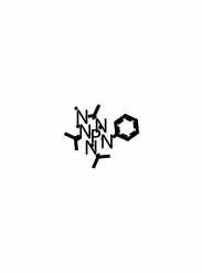 CC(C)=NP(N=C(C)C)(N=C(C)N(C)C)=Nc1ccccc1